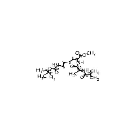 COC(=O)[C@H](CCCCNC(=O)OC(C)(C)C)NC(=O)[C@H](C)NC(=O)C(C)C